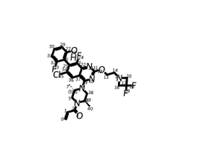 C=CC(=O)N1C[C@H](C)N(c2nc(OCCN3CC(F)(F)C3)nc3c(F)c(-c4c(O)cccc4F)c(Cl)cc23)C[C@H]1C